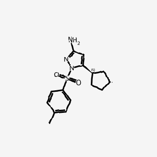 Cc1ccc(S(=O)(=O)n2nc(N)cc2[C@H]2C[CH]CC2)cc1